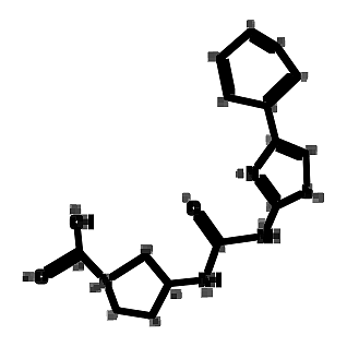 O=C(Nc1nc(-c2ccccc2)cs1)NC1CCN(C(=O)O)C1